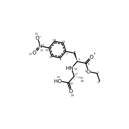 CCOC(=O)[C@H](Cc1ccc([N+](=O)[O-])cc1)N[C@H](C)C(=O)O